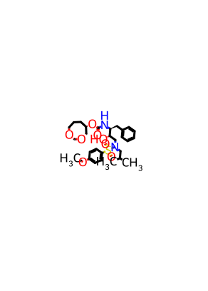 COc1ccc(S(=O)(=O)N(CC(C)C)C[C@@H](O)[C@H](Cc2ccccc2)NC(=O)O[C@H]2CCCOCOC2)cc1